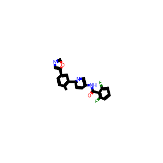 Cc1ccc(-c2cnco2)cc1-c1ccc(NC(=O)c2c(F)cccc2F)cn1